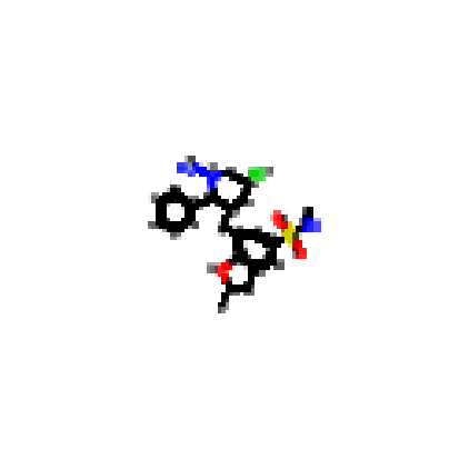 CNS(=O)(=O)c1cc(C[C@@H]2CCCN(N)C2c2ccccc2)c2c(c1)C[C@H](C)O2.Cl